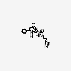 O=C(NCCCn1ccnc1)c1cc2[nH]c(-c3ccccc3)cc(=O)n2n1